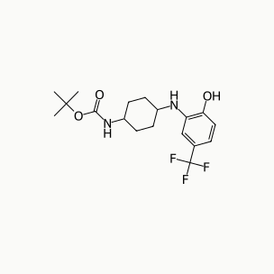 CC(C)(C)OC(=O)NC1CCC(Nc2cc(C(F)(F)F)ccc2O)CC1